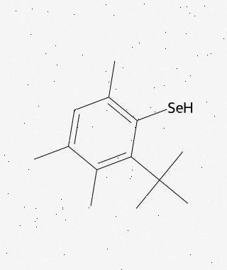 Cc1cc(C)c([SeH])c(C(C)(C)C)c1C